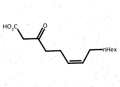 CCCCCCC/C=C\CCC(=O)CC(=O)O